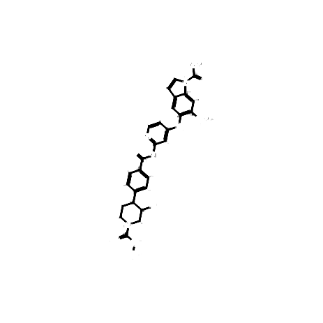 CNC(=O)n1ccc2cc(Oc3ccnc(NC(=O)c4ccc(C5CCN(C(=O)OC(C)(C)C)CC5F)cc4)c3)c(OC)cc21